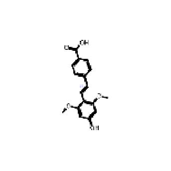 COc1cc(O)cc(OC)c1/C=C/c1ccc(C(=O)O)cc1